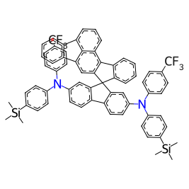 C[Si](C)(C)c1ccc(N(c2ccc(C(F)(F)F)cc2)c2ccc3c(c2)C2(c4cc(N(c5ccc(C(F)(F)F)cc5)c5ccc([Si](C)(C)C)cc5)ccc4-3)c3ccccc3-c3c2cc2c4c(cccc34)-c3ccccc3-2)cc1